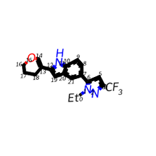 CCn1nc(C(F)(F)F)cc1-c1ccc2[nH]c(C3=COCCC3)cc2c1